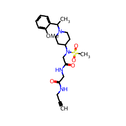 C#CCNC(=O)CNC(=O)CN(C1CCN(C(C)c2ccccc2OC)CC1)S(C)(=O)=O